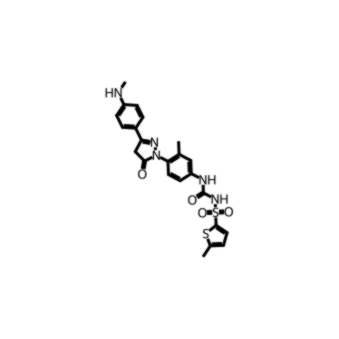 CNc1ccc(C2=NN(c3ccc(NC(=O)NS(=O)(=O)c4ccc(C)s4)cc3C)C(=O)C2)cc1